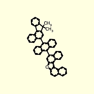 CC1(C)c2ccccc2-c2c1cc(-c1c3ccccc3c(-c3cc4oc5ccc6ccccc6c5c4c4ccccc34)c3ccccc13)c1ccccc21